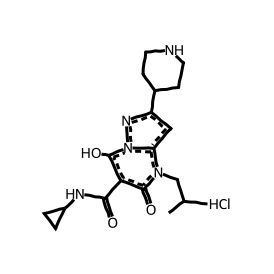 CC(C)Cn1c(=O)c(C(=O)NC2CC2)c(O)n2nc(C3CCNCC3)cc12.Cl